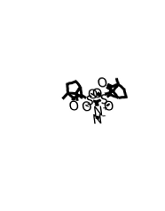 CC12CCC(C(S(=O)(=O)C(=[N+]=[N-])S(=O)(=O)C3C(=O)C4(C)CCC3C4(C)C)C1=O)C2(C)C